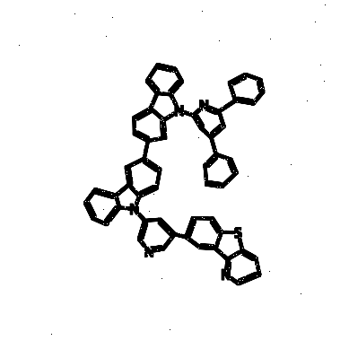 c1ccc(-c2cc(-c3ccccc3)nc(-n3c4ccccc4c4ccc(-c5ccc6c(c5)c5ccccc5n6-c5cncc(-c6ccc7sc8cccnc8c7c6)c5)cc43)c2)cc1